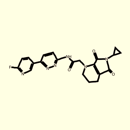 O=C(CN1CCCC2=C1C(=O)N(C1CC1)C2=O)Nc1ccc(-c2ccc(F)nc2)nn1